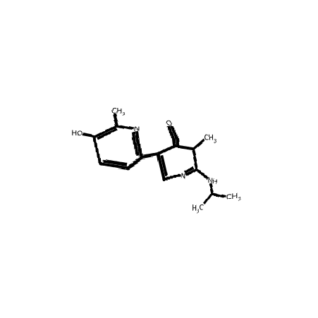 Cc1nc(C2=CN=C(NC(C)C)C(C)C2=O)ccc1O